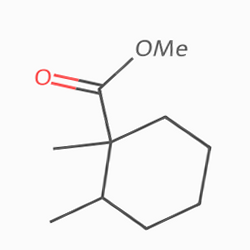 COC(=O)C1(C)CCCCC1C